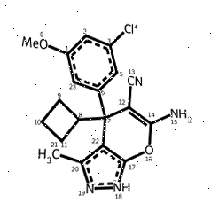 COc1cc(Cl)cc(C2(C3CCC3)C(C#N)=C(N)Oc3[nH]nc(C)c32)c1